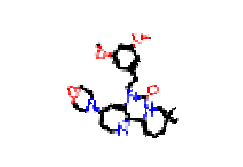 COc1cc(CCN2C(=O)N3CC(C)(C)CCC=C3C3=NCC=C(N4CCOCC4)C=C32)cc(OC)c1